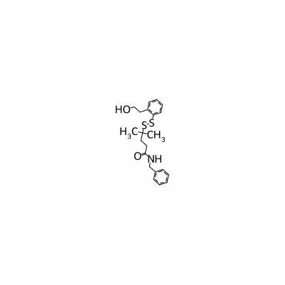 CC(C)(CCC(=O)NCc1ccccc1)SSc1ccccc1CCO